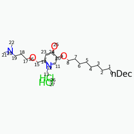 CCCCCCCCCCCCCCCCCCOc1cn(C)c(COCCCN(C)C)cc1=O.Cl.Cl